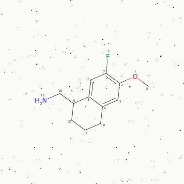 COc1cc2c(cc1F)C(CN)CCC2